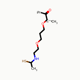 CC(S)NCCOCCCO[C@@H](C)C(=O)C(C)C